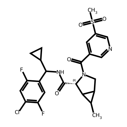 CC1C2CN(C(=O)c3cncc(S(C)(=O)=O)c3)[C@@H](C(=O)NC(c3cc(F)c(Cl)cc3F)C3CC3)C12